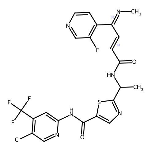 C/N=C(\C=C\C(=O)NC(C)c1ncc(C(=O)Nc2cc(C(F)(F)F)c(Cl)cn2)s1)c1ccncc1F